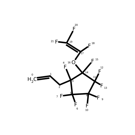 C=CCC1(F)C(F)(F)C(F)(F)C(F)(F)C1(F)OC(F)=C(F)F